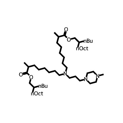 CCCCCCCCC(CCCC)COC(=O)C(C)CCCCCCN(CCCCCCC(C)C(=O)OCC(CCCC)CCCCCCCC)CCCN1CCN(C)CC1